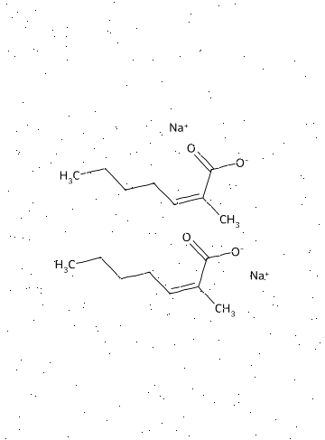 CCCCC=C(C)C(=O)[O-].CCCCC=C(C)C(=O)[O-].[Na+].[Na+]